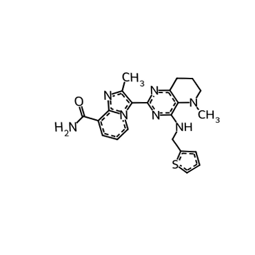 Cc1nc2c(C(N)=O)cccn2c1-c1nc2c(c(NCc3cccs3)n1)N(C)CCC2